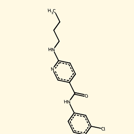 CCCCNc1ccc(C(=O)Nc2cccc(Cl)c2)cn1